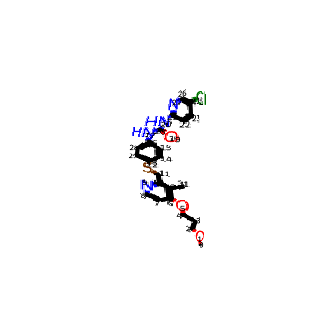 COCCCOc1ccnc(CSc2ccc(NC(=O)Nc3ccc(Cl)cn3)cc2)c1C